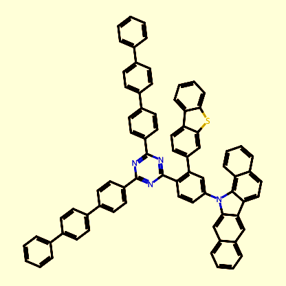 c1ccc(-c2ccc(-c3ccc(-c4nc(-c5ccc(-c6ccc(-c7ccccc7)cc6)cc5)nc(-c5ccc(-n6c7cc8ccccc8cc7c7ccc8ccccc8c76)cc5-c5ccc6c(c5)sc5ccccc56)n4)cc3)cc2)cc1